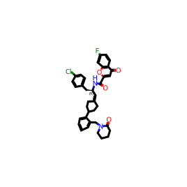 O=C(N[C@@H](C=C1CCC(c2ccccc2CN2CCCCC2=O)CC1)Cc1ccc(Cl)cc1)c1cc(=O)c2ccc(F)cc2o1